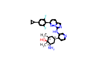 C[C@H]1C[C@@H](c2ccncc2Nc2ncc3ccc(-c4c(F)cc(C5CC5)cc4F)nn23)C[C@@H](N)[C@]1(C)O